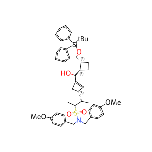 COc1ccc(CN(Cc2ccc(OC)cc2)S(=O)(=O)C(C)C(C)[C@H]2C=C(C(O)[C@@H]3CC[C@H]3CO[Si](c3ccccc3)(c3ccccc3)C(C)(C)C)C2)cc1